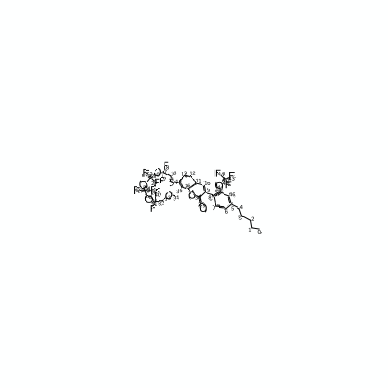 CCCCCc1ccc(-c2cc3ccc(SCC(F)(F)OC(F)(F)OC(F)(F)OC(F)(F)COC)cc3oc2=O)c(OC(F)(F)F)c1